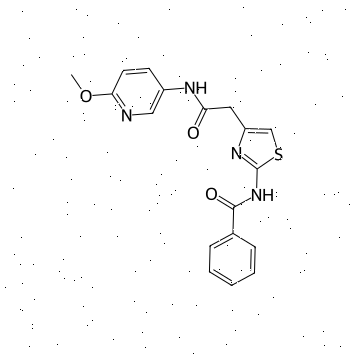 COc1ccc(NC(=O)Cc2csc(NC(=O)c3ccccc3)n2)cn1